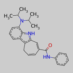 CC(C)N(c1cccc2c3c([nH]c12)C=C(C(=O)Nc1ccccc1)C=CC3)C(C)C